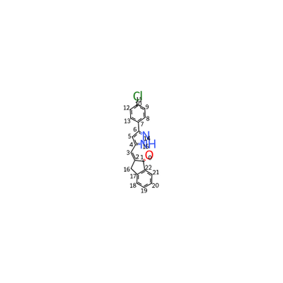 O=C1C(=Cc2cc(-c3ccc(Cl)cc3)n[nH]2)Cc2ccccc21